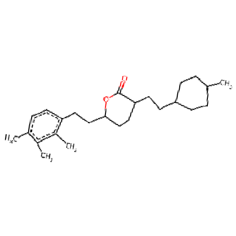 Cc1ccc(CCC2CCC(CCC3CCC(C)CC3)C(=O)O2)c(C)c1C